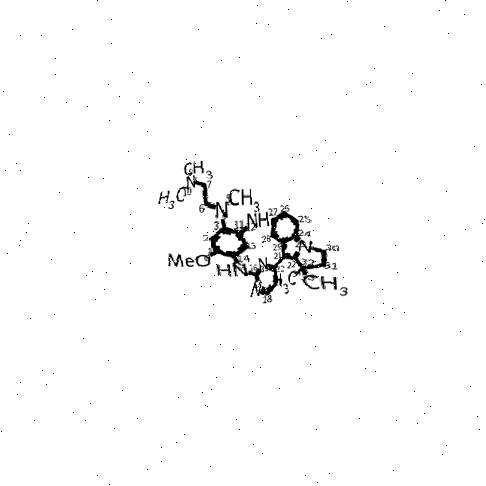 COc1cc(N(C)CCN(C)C)c(N)cc1Nc1nccc(-c2c3n(c4ccccc24)CCC3(C)C)n1